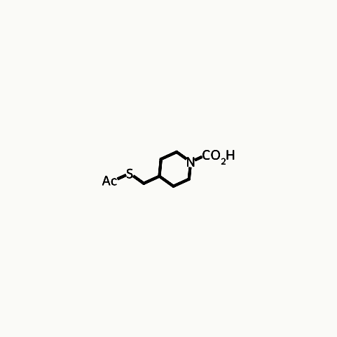 CC(=O)SCC1CCN(C(=O)O)CC1